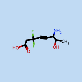 CC(O)C(N)C#CC(F)(F)CC(=O)O